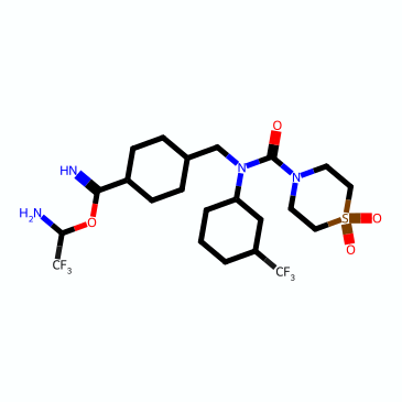 N=C(OC(N)C(F)(F)F)C1CCC(CN(C(=O)N2CCS(=O)(=O)CC2)C2CCCC(C(F)(F)F)C2)CC1